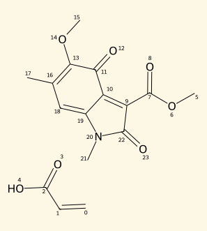 C=CC(=O)O.COC(=O)C1=C2C(=O)C(OC)=C(C)C=C2N(C)C1=O